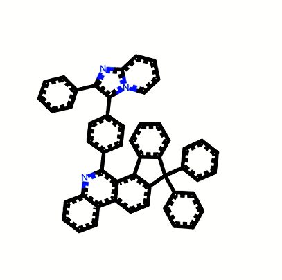 c1ccc(-c2nc3ccccn3c2-c2ccc(-c3nc4ccccc4c4ccc5c(c34)-c3ccccc3C5(c3ccccc3)c3ccccc3)cc2)cc1